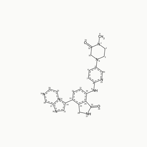 CN1CCN(c2ccc(Nc3ccc(-c4cnc5cnccn45)c4c3C(=O)NC4)nc2)CC1=O